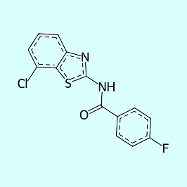 O=C(Nc1nc2cccc(Cl)c2s1)c1ccc(F)cc1